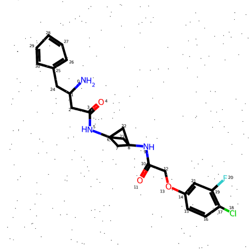 NC(CC(=O)NC12CC(NC(=O)COc3ccc(Cl)c(F)c3)(C1)C2)Cc1ccccc1